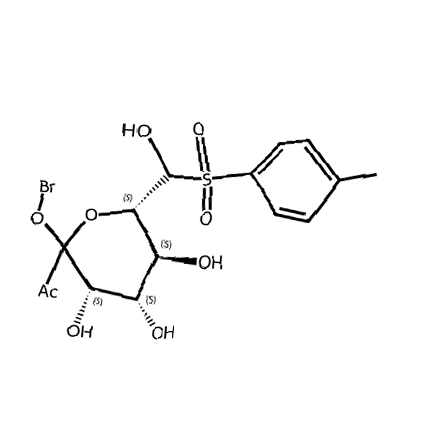 CC(=O)C1(OBr)O[C@H](C(O)S(=O)(=O)c2ccc(C)cc2)[C@@H](O)[C@H](O)[C@@H]1O